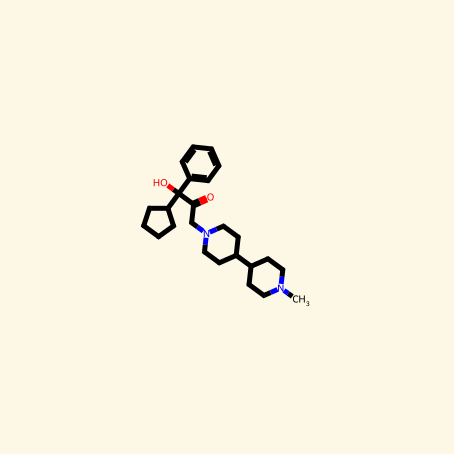 CN1CCC(C2CCN(CC(=O)C(O)(c3ccccc3)C3CCCC3)CC2)CC1